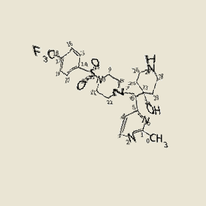 Cc1nccc(C(N2CCN(S(=O)(=O)c3ccc(C(F)(F)F)cc3)CC2)C2(O)CCNCC2)n1